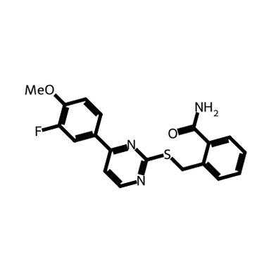 COc1ccc(-c2ccnc(SCc3ccccc3C(N)=O)n2)cc1F